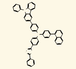 c1ccc(-c2nnc(-c3ccc(N(c4ccc(-c5ccc6c(c5)c5ccccc5n6-c5ccccc5)cc4)c4ccc(-c5cccc6ccccc56)cc4)cc3)o2)cc1